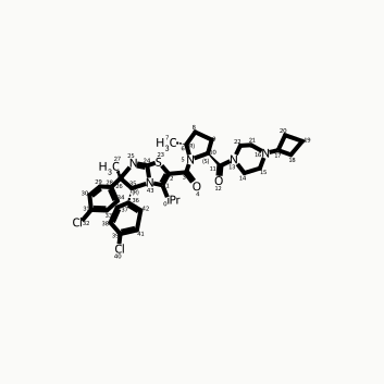 CC(C)C1=C(C(=O)N2[C@H](C)CC[C@H]2C(=O)N2CCN(C3CCC3)CC2)SC2=N[C@@](C)(c3ccc(Cl)cc3)[C@@H](c3ccc(Cl)cc3)N21